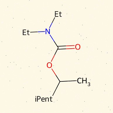 CCCC(C)C(C)OC(=O)N(CC)CC